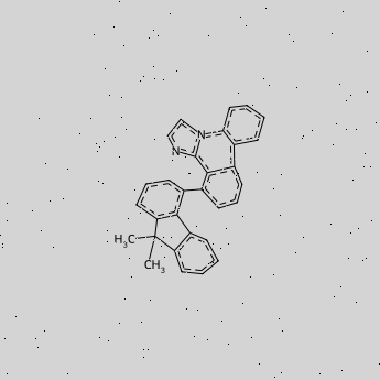 CC1(C)c2ccccc2-c2c(-c3cccc4c5ccccc5n5ccnc5c34)cccc21